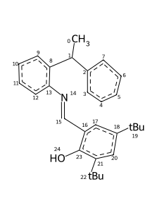 CC(c1ccccc1)c1ccccc1/N=C/c1cc(C(C)(C)C)cc(C(C)(C)C)c1O